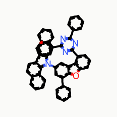 c1ccc(-c2nc(-c3ccccc3)nc(-c3cccc4oc5c(-c6ccccc6)cc(-n6c7cc8ccccc8cc7c7ccc8ccccc8c76)cc5c34)n2)cc1